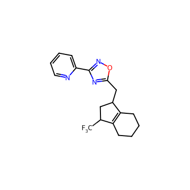 FC(F)(F)C1CC(Cc2nc(-c3ccccn3)no2)C2=C1CCCC2